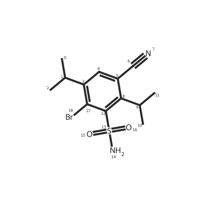 CC(C)c1cc(C#N)c(C(C)C)c(S(N)(=O)=O)c1Br